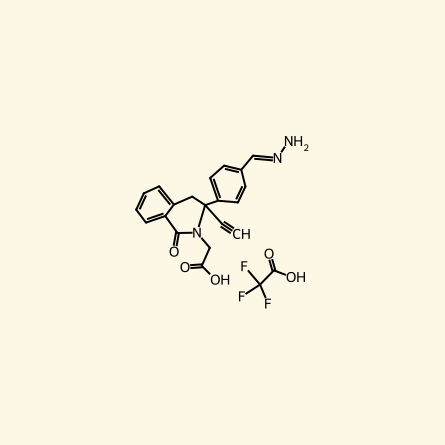 C#CC1(c2ccc(C=NN)cc2)Cc2ccccc2C(=O)N1CC(=O)O.O=C(O)C(F)(F)F